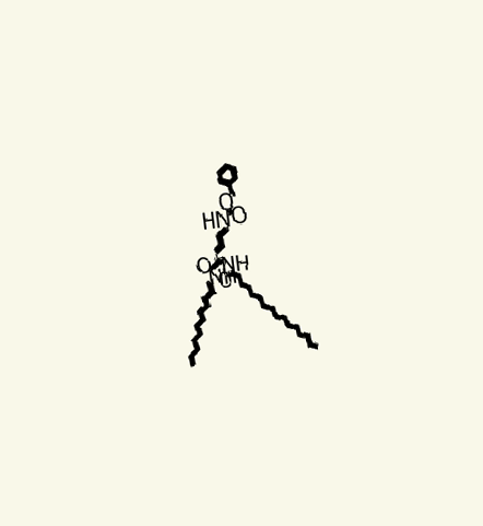 CCCCCCCCCCCCCCCC(=O)N[C@@H](CCCCNC(=O)OCc1ccccc1)C(=O)NCCCCCCCCCCCC